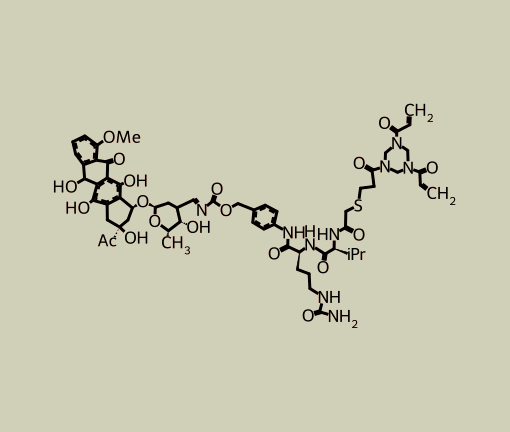 C=CC(=O)N1CN(C(=O)C=C)CN(C(=O)CCSCC(=O)N[C@H](C(=O)N[C@@H](CCCNC(N)=O)C(=O)Nc2ccc(COC(=O)/N=C/C3C[C@H](O[C@H]4C[C@](O)(C(C)=O)Cc5c(O)c6c(c(O)c54)C(=O)c4c(OC)cccc4C6O)O[C@@H](C)[C@H]3O)cc2)C(C)C)C1